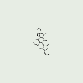 C=C1CC(/C=C\C)=C(C)C/1=c1\c(/C=C\C)c(C)c2oc(/C=C\C)c(C)c2c1=C